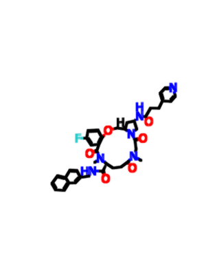 CN1CC(=O)N2C[C@@H](NC(=O)CCc3ccncc3)C[C@H]2COc2ccc(F)cc2C(=O)N(C)[C@H](C(=O)NCc2ccc3ccccc3c2)CCC1=O